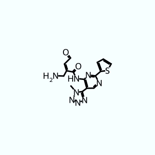 Cn1nnnc1-c1cnc(-c2cccs2)nc1NC(=O)/C(=C\C=O)CN